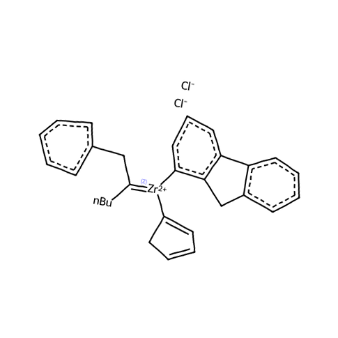 CCCC/[C](Cc1ccccc1)=[Zr+2](\[C]1=CC=CC1)[c]1cccc2c1Cc1ccccc1-2.[Cl-].[Cl-]